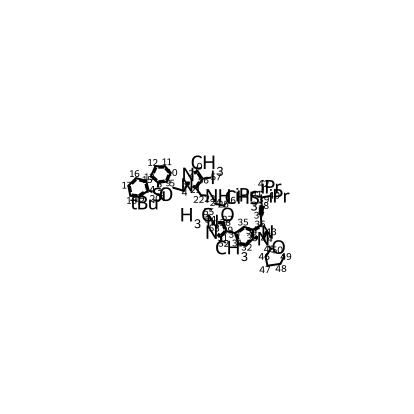 Cc1nn(CCO[Si](c2ccccc2)(c2ccccc2)C(C)(C)C)c(CNCC(C)Oc2c(-c3ccc4c(c3)c(C#C[Si](C(C)C)(C(C)C)C(C)C)nn4C3CCCCO3)c(C)nn2C)c1I